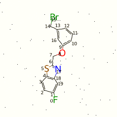 Fc1ccc2sc(COc3cccc(CBr)c3)nc2c1